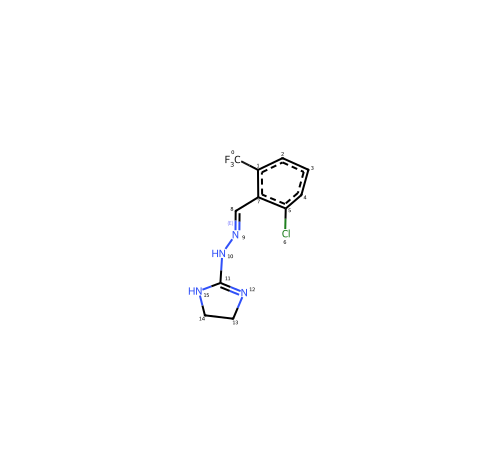 FC(F)(F)c1cccc(Cl)c1/C=N/NC1=NCCN1